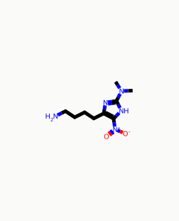 CN(C)c1nc(CCCCN)c([N+](=O)[O-])[nH]1